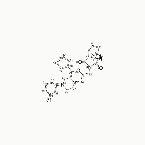 O=C1C2C3C=C[C@@H](C3)[C@@H]2C(=O)N1CC(CN1CCN(c2cccc(Cl)c2)CC1)OCc1ccccc1